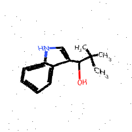 CC(C)(C)C(O)c1c[nH]c2ccccc12